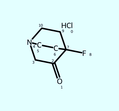 Cl.O=C1CN2CCC1(F)CC2